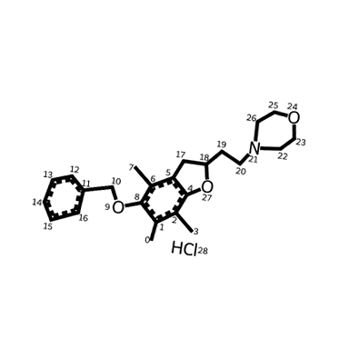 Cc1c(C)c2c(c(C)c1OCc1ccccc1)CC(CCN1CCOCC1)O2.Cl